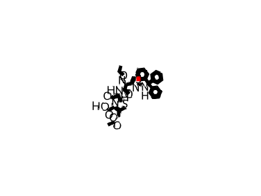 CCON=C(C(=O)N[C@@H]1C(=O)N2C(C(=O)O)=C(COC(C)=O)CS[C@H]12)c1csc(NC(c2ccccc2)(c2ccccc2)c2ccccc2)n1